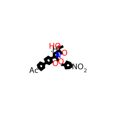 CC(=O)c1ccc(-c2ccc(C3=C(C(=O)OCc4ccc([N+](=O)[O-])cc4)N4C(=O)[C@H](C(C)O)[C@H]4[C@H]3C)cc2)cc1